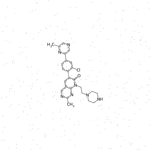 Cc1cncc(-c2ccc(-c3cc4cnc(C)nc4n(CCN4CCNCC4)c3=O)c(Cl)c2)n1